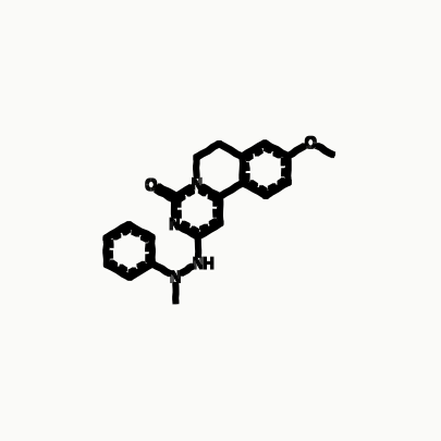 COc1ccc2c(c1)CCn1c-2cc(NN(C)c2ccccc2)nc1=O